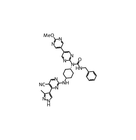 COc1ncc(-c2cnc(N(C(=O)NCc3ccccc3)[C@H]3CC[C@H](Nc4ncc(C#N)c(-c5c[nH]nc5C)n4)CC3)nc2)cn1